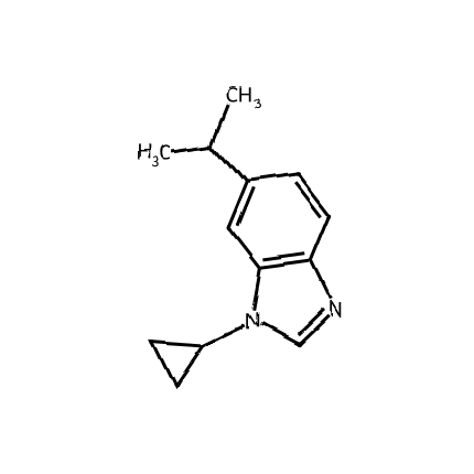 CC(C)c1ccc2ncn(C3CC3)c2c1